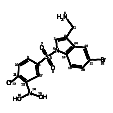 NCc1cn(S(=O)(=O)c2ccc(Cl)c(N(O)O)c2)c2ccc(Br)cc12